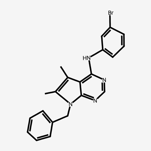 Cc1c(C)n(Cc2ccccc2)c2ncnc(Nc3cccc(Br)c3)c12